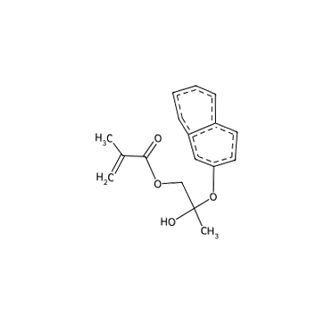 C=C(C)C(=O)OCC(C)(O)Oc1ccc2ccccc2c1